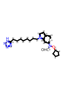 O=CN(OC1CCCC1)c1ccc2ccn(CCCCCCCCc3nnn[nH]3)c2c1